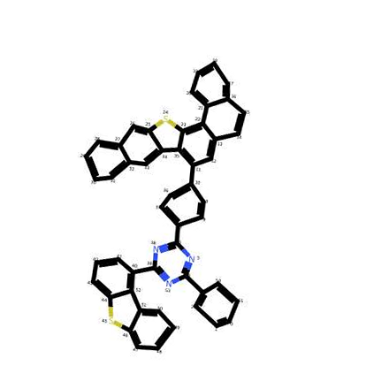 c1ccc(-c2nc(-c3ccc(-c4cc5ccc6ccccc6c5c5sc6cc7ccccc7cc6c45)cc3)nc(-c3cccc4sc5ccccc5c34)n2)cc1